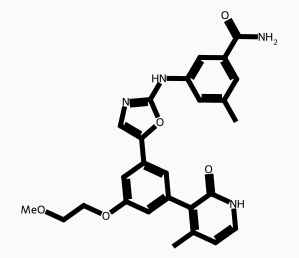 COCCOc1cc(-c2cnc(Nc3cc(C)cc(C(N)=O)c3)o2)cc(-c2c(C)cc[nH]c2=O)c1